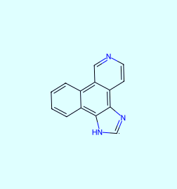 [c]1nc2c3ccncc3c3ccccc3c2[nH]1